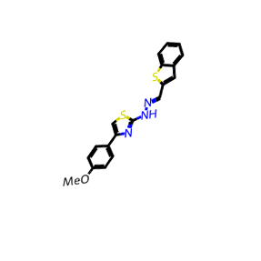 COc1ccc(-c2csc(NN=Cc3cc4ccccc4s3)n2)cc1